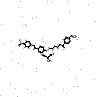 C=C(C#N)C#N.C=Cc1ccc(C(=O)CCCCCOc2ccc(C=Cc3ccc([N+](=O)[O-])cc3)cc2)cc1